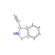 C#CC1NCc2ccccc21